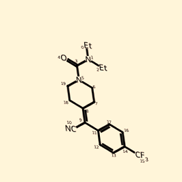 CCN(CC)C(=O)N1CCC(=C(C#N)c2ccc(C(F)(F)F)cc2)CC1